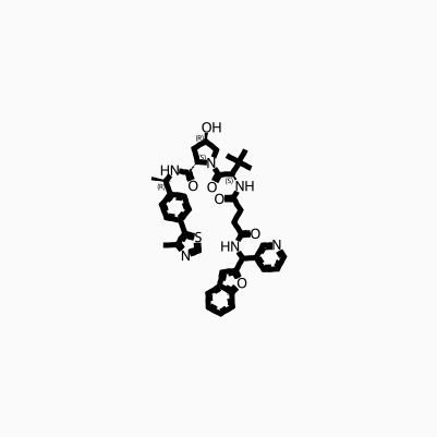 Cc1ncsc1-c1ccc([C@@H](C)NC(=O)[C@@H]2C[C@@H](O)CN2C(=O)[C@@H](NC(=O)CCC(=O)NC(c2cccnc2)c2cc3ccccc3o2)C(C)(C)C)cc1